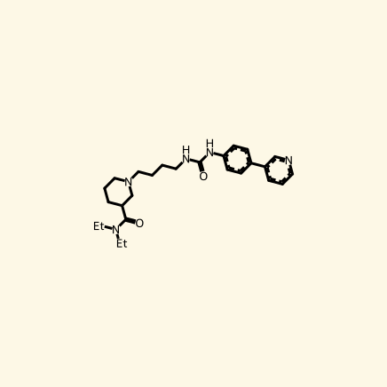 CCN(CC)C(=O)C1CCCN(CCCCNC(=O)Nc2ccc(-c3cccnc3)cc2)C1